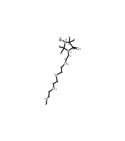 COCCOCCOCCOCCN1C(=O)C(C)(C)N(Br)C1(C)C